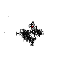 CCOC(=O)C(Cl)Cc1cc(-n2nc(C)n(C(F)F)c2=O)c(F)cc1Cl.COc1cc(OC)nc(NC(=O)NS(=O)(=O)c2c(C(=O)O)c(Cl)nn2C)n1